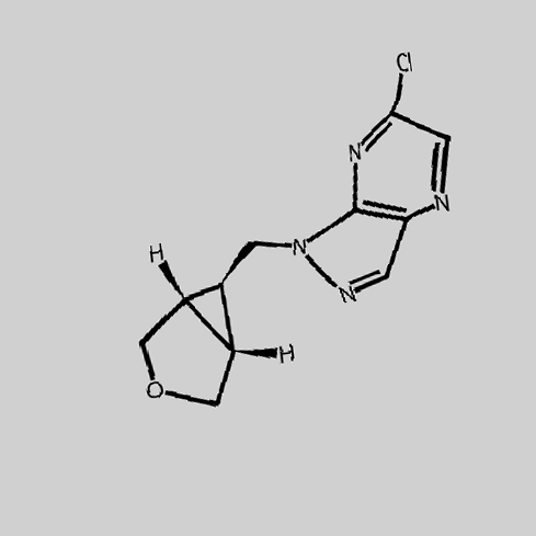 Clc1cnc2cnn(C[C@H]3[C@@H]4COC[C@@H]43)c2n1